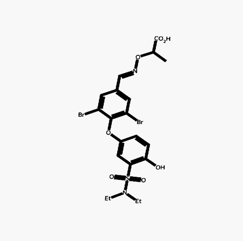 CCN(CC)S(=O)(=O)c1cc(Oc2c(Br)cc(C=NOC(C)C(=O)O)cc2Br)ccc1O